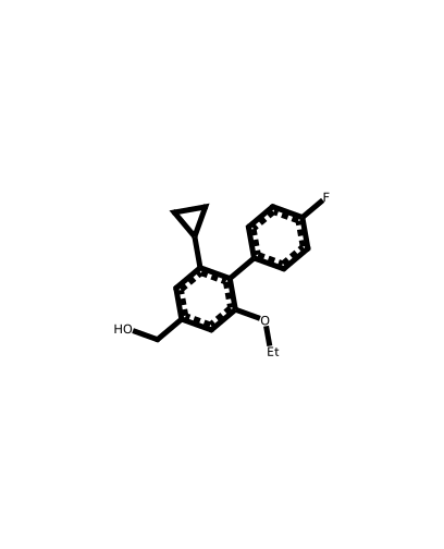 CCOc1cc(CO)cc(C2CC2)c1-c1ccc(F)cc1